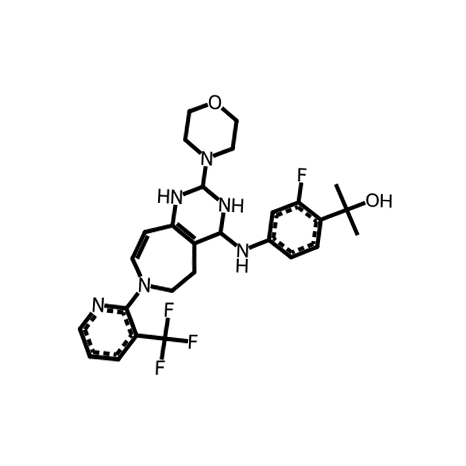 CC(C)(O)c1ccc(NC2NC(N3CCOCC3)NC3=C2CCN(c2ncccc2C(F)(F)F)C=C3)cc1F